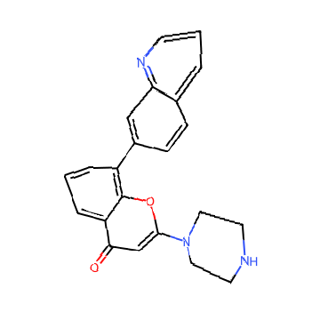 O=c1cc(N2CCNCC2)oc2c(-c3ccc4cccnc4c3)cccc12